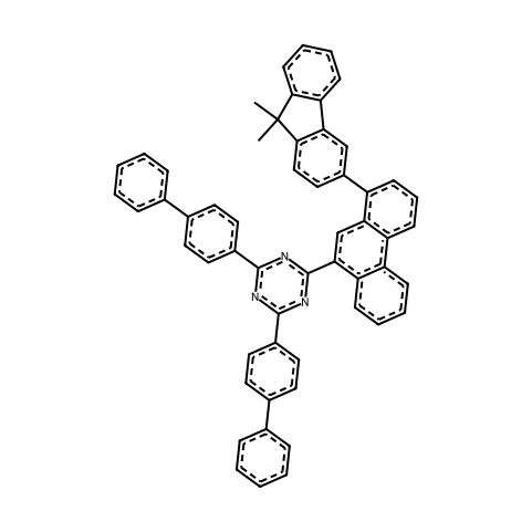 CC1(C)c2ccccc2-c2cc(-c3cccc4c3cc(-c3nc(-c5ccc(-c6ccccc6)cc5)nc(-c5ccc(-c6ccccc6)cc5)n3)c3ccccc34)ccc21